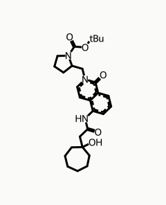 CC(C)(C)OC(=O)N1CCCC1Cn1ccc2c(NC(=O)CC3(O)CCCCCC3)cccc2c1=O